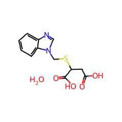 O.O=C(O)CC(SCn1cnc2ccccc21)C(=O)O